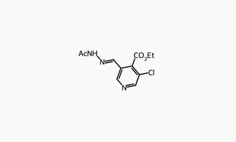 CCOC(=O)c1c(Cl)cncc1/C=N/NC(C)=O